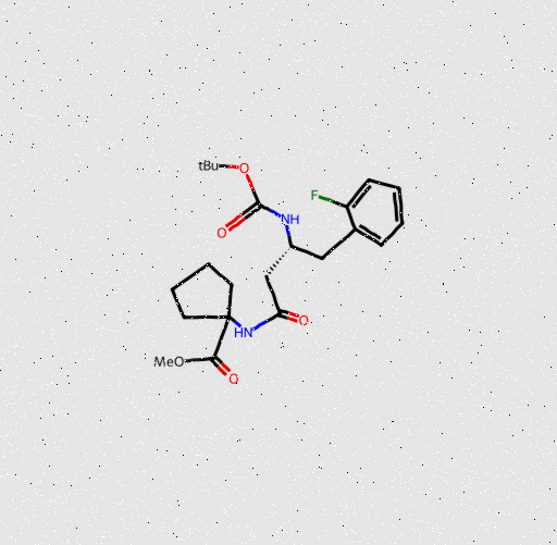 COC(=O)C1(NC(=O)C[C@@H](Cc2ccccc2F)NC(=O)OC(C)(C)C)CCCC1